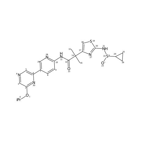 CC(C)Oc1cncc(-c2ccc(NC(=O)C(C)(C)c3csc(N[S+]([O-])C4CC4)n3)nc2)n1